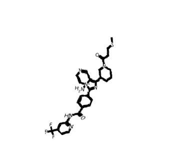 CSCCC(=O)N1CCCC(C2=C3C=NC=C[N+]3(N)C(c3ccc(C(=O)Nc4cc(C(F)(F)F)ccn4)cc3)=N2)C1